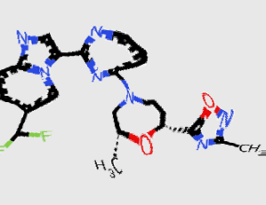 Cc1noc([C@H]2CN(c3ccnc(-c4cnc5ccc(C(F)F)cn45)n3)C[C@@H](C)O2)n1